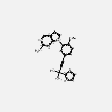 COc1ccc(C#CC(C)(O)c2nccs2)cc1-n1ccc2cnc(N)nc21